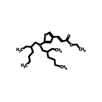 CCCCC(CC)CN(CC(CC)CCCC)c1cc(/C=C/C(=O)OCC)cs1